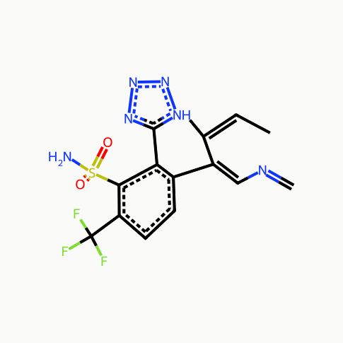 C=N/C=C(\C(C)=C/C)c1ccc(C(F)(F)F)c(S(N)(=O)=O)c1-c1nnn[nH]1